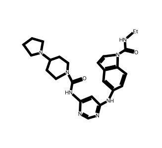 CCNC(=O)n1ccc2cc(Nc3cc(NC(=O)N4CCC(N5CCCC5)CC4)ncn3)ccc21